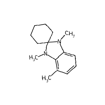 Cc1cccc2c1N(C)C1(CCCCC1)N2C